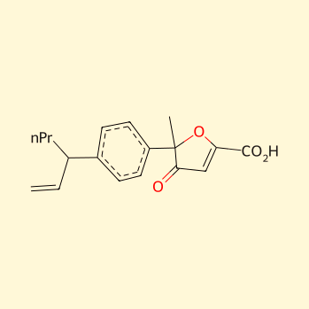 C=CC(CCC)c1ccc(C2(C)OC(C(=O)O)=CC2=O)cc1